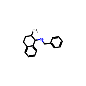 CC1CCc2ccccc2C1NCc1ccccc1